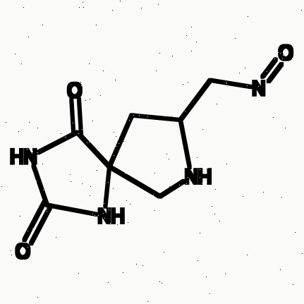 O=NCC1CC2(CN1)NC(=O)NC2=O